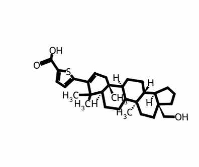 CC1(C)C(c2ccc(C(=O)O)s2)=CC[C@]2(C)[C@H]3CC[C@@H]4[C@H]5CCC[C@]5(CO)CC[C@@]4(C)C3CC[C@@H]12